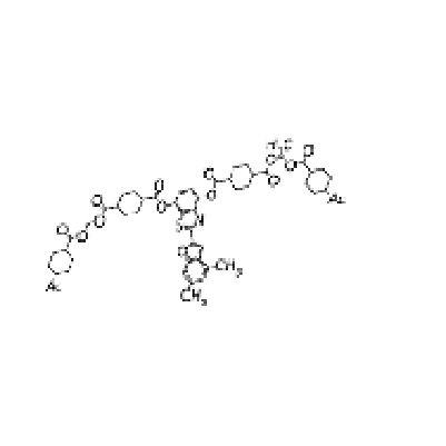 CC(=O)C1CCC(C(=O)OCOC(=O)C2CCC(C(=O)Oc3ccc(OC(=O)C4CCC(C(=O)OC(C)OC(=O)C5CCC(C(C)=O)CC5)CC4)c4nc(-c5cc6c(C)cc(C)cc6o5)sc34)CC2)CC1